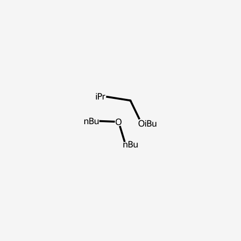 CC(C)COCC(C)C.CCCCOCCCC